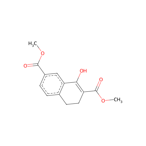 COC(=O)C1=C(O)c2cc(C(=O)OC)ccc2CC1